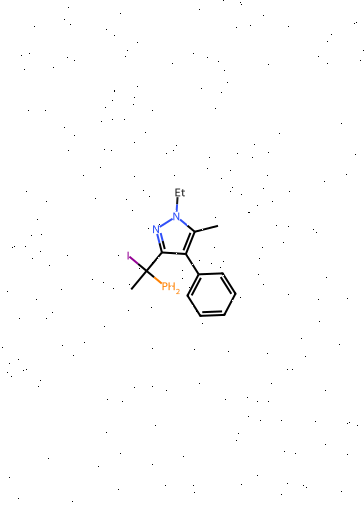 CCn1nc(C(C)(P)I)c(-c2ccccc2)c1C